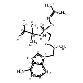 CC(C)=NO[P@](=O)(CO[C@H](C)Cn1cnc2c(N)ncnc21)[AsH]C(C)(C)C(=O)O